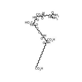 NN[C@@H](CCCCNC(=O)CCC(NC(=O)CC[C@H](NC(=O)COCCOCCNC(=O)CC[C@H](NC(=O)CCCCCCCCCCCCCCCCC(=O)O)C(=O)O)C(=O)O)C(=O)O)C(N)=O